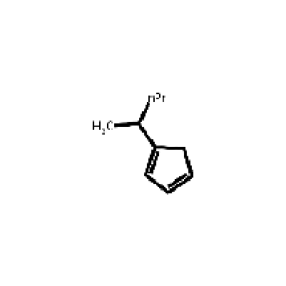 CCCC(C)C1=CC=CC1